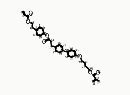 C=CC(=O)OCCc1ccc(OC(=O)CCc2ccc(-c3ccc(OCCCCOC(=O)C(=C)C)cc3)cc2)cc1